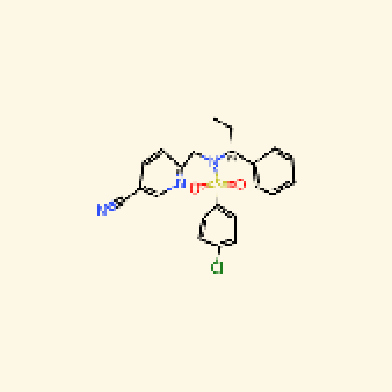 CC[C@@H](c1ccccc1)N(Cc1ccc(C#N)cn1)S(=O)(=O)c1ccc(Cl)cc1